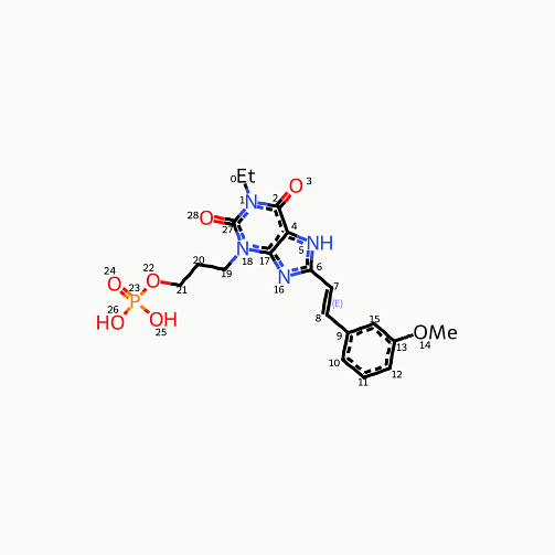 CCn1c(=O)c2[nH]c(/C=C/c3cccc(OC)c3)nc2n(CCCOP(=O)(O)O)c1=O